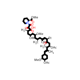 CC[C@H](/C=C(\C)C[C@H](C)C[C@H](OC)[C@H]1O[C@@](O)(C(=O)C(=O)N2CCCC[C@H]2C(=O)OC)[C@H](C)C[C@@H]1OC)C(=O)C[C@H](OC(C)=O)[C@H](C)/C(C)=C/C1CC[C@@H](OC(C)=O)[C@H](OC)C1